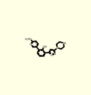 CC(=O)Nc1ccc(-c2cccc(-c3cc(N4CCNCC4)no3)c2O)cn1